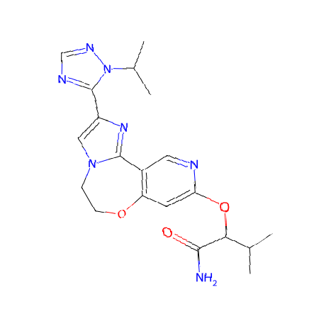 CC(C)C(Oc1cc2c(cn1)-c1nc(-c3ncnn3C(C)C)cn1CCO2)C(N)=O